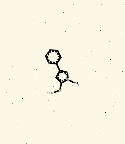 Cn1nc(-c2ccccn2)cc1OC=O